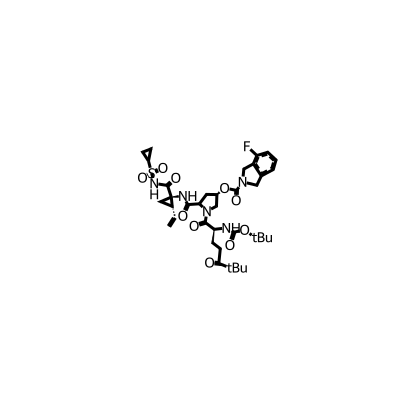 C=C[C@@H]1C[C@]1(NC(=O)C1C[C@@H](OC(=O)N2Cc3cccc(F)c3C2)CN1C(=O)[C@H](CCC(=O)C(C)(C)C)NC(=O)OC(C)(C)C)C(=O)NS(=O)(=O)C1CC1